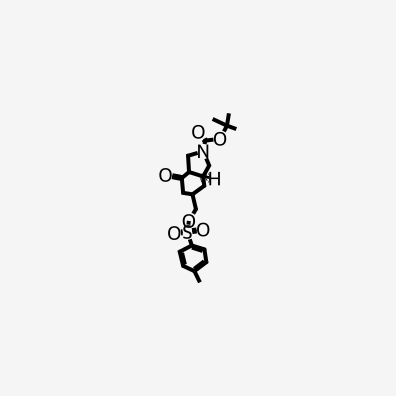 Cc1ccc(S(=O)(=O)OCC2CC(=O)C3CN(C(=O)OC(C)(C)C)C[C@@H]3C2)cc1